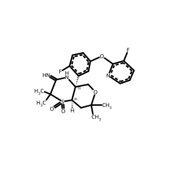 CC1(C)C[C@@H]2[C@](c3cc(Oc4ncccc4F)ccc3F)(CO1)NC(=N)C(C)(C)S2(=O)=O